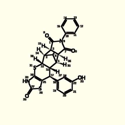 O=C1[C@@H]2[C@H]3C[C@@H]([C@@H]2C(=O)N1c1ccccc1)[C@@H]1[C@@H](c2cccc(O)c2)c2sc(=O)[nH]c2S[C@H]31